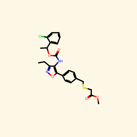 CCc1noc(-c2ccc(CSCC(=O)OC)cc2)c1NC(=O)OC(C)c1ccccc1Cl